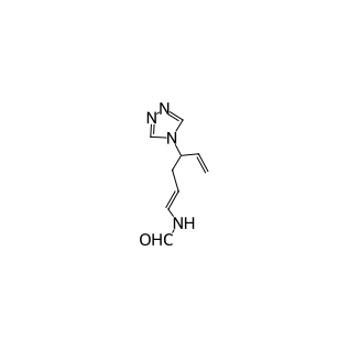 C=CC(C/C=C/NC=O)n1cnnc1